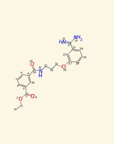 CCOC(=O)c1cccc(C(=O)NCCCOc2cccc(C(=N)N)c2)c1